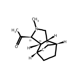 CC(=O)[C@@H]1[C@H]2[C@H]3CC[C@H](CC3)[C@H]2CN1C